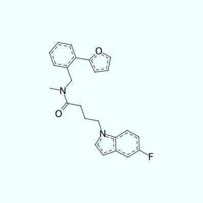 CN(Cc1ccccc1-c1ccco1)C(=O)CCCn1ccc2cc(F)ccc21